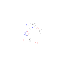 C[C@@H]1CCCC(O)C[C@](O)(C(F)(F)F)c2nnc(o2)-c2nc(c(C(F)(F)F)cc2N)O1